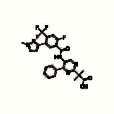 Cn1ccc(-c2cc(C(=O)Nc3cnc(C(C)(C)C(=O)O)nc3-c3ccccc3)c(F)cc2C(F)(F)F)n1